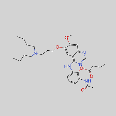 CCCCN(CCCC)CCCOc1cc2c(Nc3cccc(NC(C)=O)c3OC(=O)CCC)ncnc2cc1OC